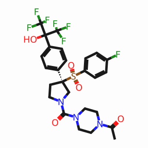 CC(=O)N1CCN(C(=O)N2CC[C@@](c3ccc(C(O)(C(F)(F)F)C(F)(F)F)cc3)(S(=O)(=O)c3ccc(F)cc3)C2)CC1